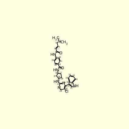 CN(C)C/C=C/C(=O)Nc1ccc(C(=O)NC2CC[C@H](Nc3ncc(Cl)c(-c4c[nH]c5ccccc45)n3)C2)cc1